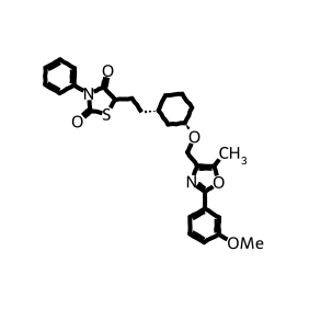 COc1cccc(-c2nc(CO[C@H]3CCC[C@@H](CCC4SC(=O)N(c5ccccc5)C4=O)C3)c(C)o2)c1